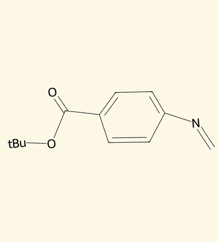 C=Nc1ccc(C(=O)OC(C)(C)C)cc1